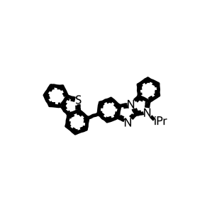 CC(C)n1c2ccccc2n2c3ccc(-c4cccc5c4sc4ccccc45)cc3nc12